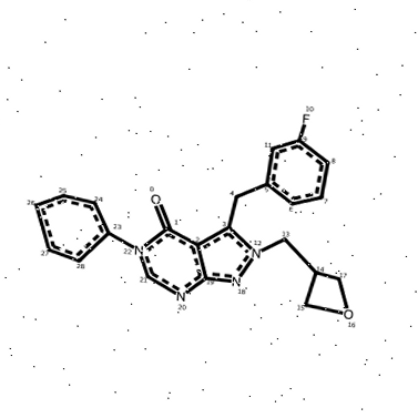 O=c1c2c(Cc3cccc(F)c3)n(CC3COC3)nc2ncn1-c1ccccc1